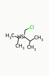 CC(C)[SiH](CCl)C(C)C